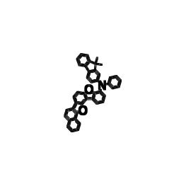 CC1(C)c2ccccc2-c2ccc(N(c3ccccc3)c3cccc4c3oc3ccc5c6ccc7ccccc7c6oc5c34)cc21